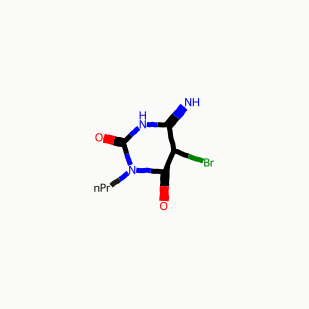 CCCN1C(=O)NC(=N)C(Br)C1=O